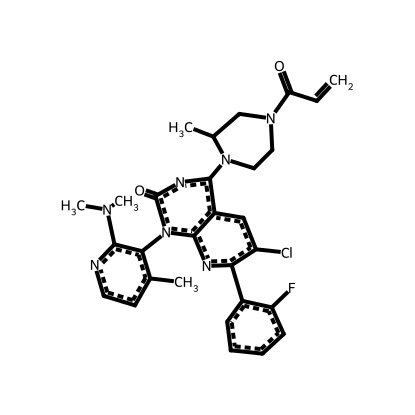 C=CC(=O)N1CCN(c2nc(=O)n(-c3c(C)ccnc3N(C)C)c3nc(-c4ccccc4F)c(Cl)cc23)C(C)C1